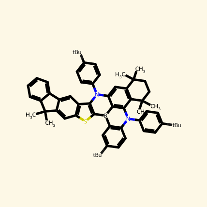 CC(C)(C)c1ccc(N2c3ccc(C(C)(C)C)cc3B3c4sc5cc6c(cc5c4N(c4ccc(C(C)(C)C)cc4)c4cc5c(c2c43)C(C)(C)CCC5(C)C)-c2ccccc2C6(C)C)cc1